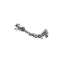 CC(=O)c1c(C)c2cnc(Nc3ccc(N4CCN(CC(=O)NCCCCCCCNc5cccc(C(=O)N/C(N)=C/C=C(/C)N)c5C)CC4)cn3)nc2n(C2CCCC2)c1=O